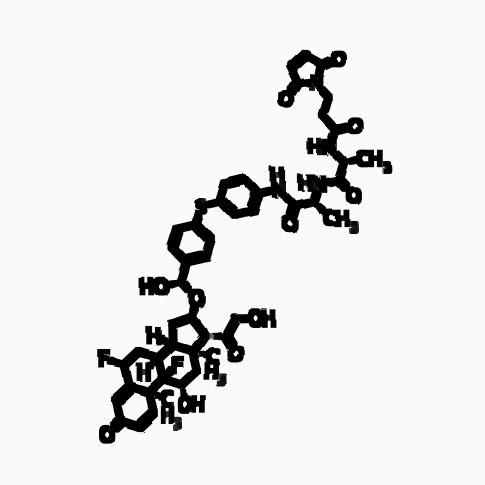 C[C@H](NC(=O)CCN1C(=O)C=CC1=O)C(=O)N[C@@H](C)C(=O)Nc1ccc(Sc2ccc([C@H](O)O[C@@H]3C[C@H]4[C@@H]5C[C@H](F)C6=CC(=O)C=C[C@]6(C)[C@@]5(F)[C@@H](O)C[C@]4(C)[C@H]3C(=O)CO)cc2)cc1